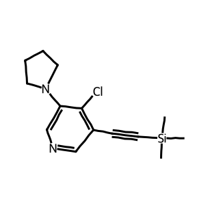 C[Si](C)(C)C#Cc1cncc(N2CCCC2)c1Cl